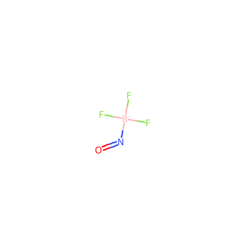 O=N[B-](F)(F)F